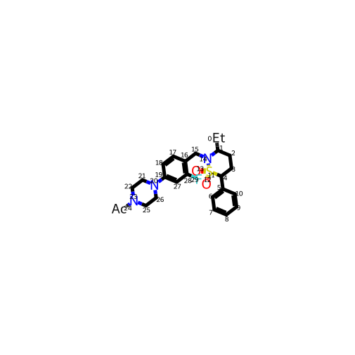 CCC1CCC(c2ccccc2)S(=O)(=O)N1Cc1ccc(N2CCN(C(C)=O)CC2)cc1F